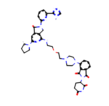 CCn1cnnc1-c1cccc(N2Cc3c(cc(N4CCC[C@H]4C)nc3NCCOCCN3CCN(c4cccc5c4C(=O)N(C4CCC(=O)NC4=O)C5=O)CC3)C2=O)n1